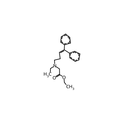 CCOC(=O)CN(CC)CCC=C(c1ccccc1)c1ccccc1